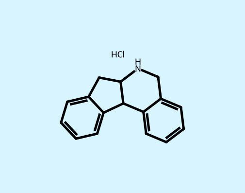 Cl.c1ccc2c(c1)CNC1Cc3ccccc3C21